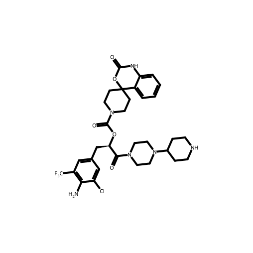 Nc1c(Cl)cc(C[C@@H](OC(=O)N2CCC3(CC2)OC(=O)Nc2ccccc23)C(=O)N2CCN(C3CCNCC3)CC2)cc1C(F)(F)F